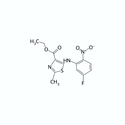 CCOC(=O)c1nc(C)sc1Nc1cc(F)ccc1[N+](=O)[O-]